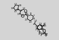 Fc1cc(CC[C@H]2CC[C@H]([C@H]3OC[C@H](C4CCCC4)CO3)CC2)cc(F)c1OC(F)F